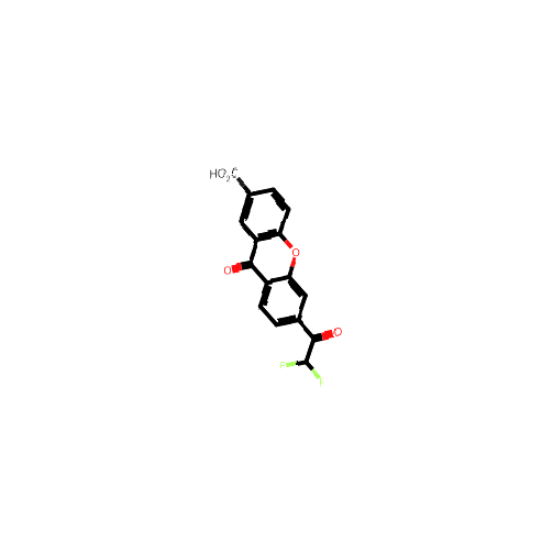 O=C(O)c1ccc2oc3cc(C(=O)C(F)F)ccc3c(=O)c2c1